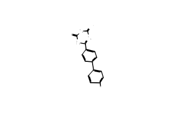 O=c1nc(-c2ccc(-c3ccc(Br)cc3)cc2)[nH]c(=O)[nH]1